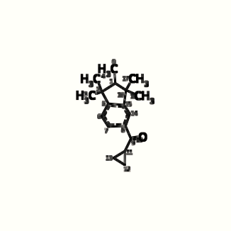 CC1C(C)(C)c2ccc(C(=O)C3CC3)cc2C1(C)C